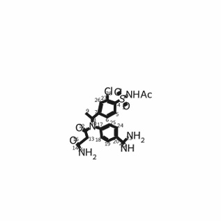 CC(=O)NS(=O)(=O)c1ccc(C(C)N(C(=O)CC(N)=O)c2ccc(C(=N)N)cc2)cc1Cl